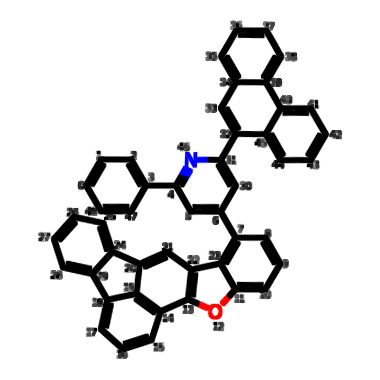 c1ccc(-c2cc(-c3cccc4oc5c6cccc7c6c(cc5c34)-c3ccccc3-7)cc(-c3cc4ccccc4c4ccccc34)n2)cc1